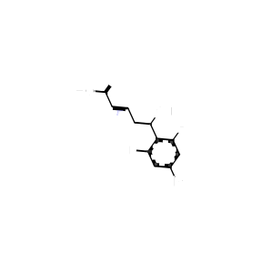 CC(C/C=C/C(=O)O)c1c(F)cc(Br)cc1F